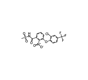 CS(=O)(=O)NC(=O)c1cccc(Oc2ccc(C(F)(F)F)cc2Cl)c1[N+](=O)[O-]